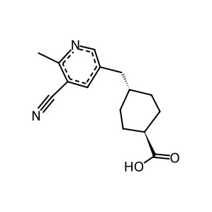 Cc1ncc(C[C@H]2CC[C@H](C(=O)O)CC2)cc1C#N